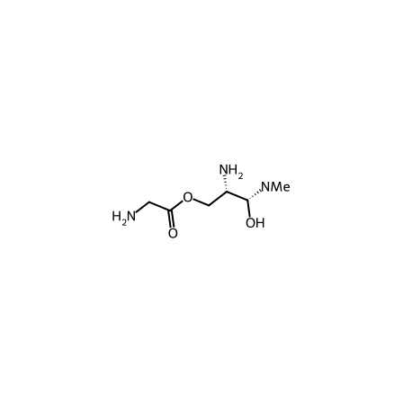 CN[C@H](O)[C@@H](N)COC(=O)CN